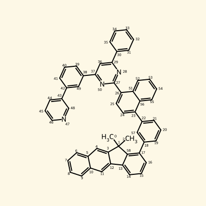 CC1(C)c2cc3ccccc3cc2-c2cccc(-c3cccc(-c4ccc(-c5nc(-c6ccccc6)cc(-c6cccc(-c7cccnc7)c6)n5)c5ccccc45)c3)c21